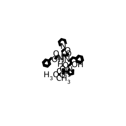 CC(C)(C)OC(=O)[C@@H]1CCCN1C(=O)C(O)C(Cc1ccccc1)NC(=O)[C@H](CC(=O)N1CCCCC1)NC(=O)OCc1ccccc1